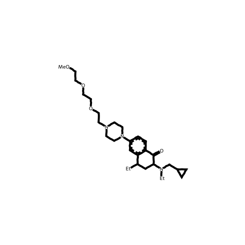 CCC1CC(N(CC)CC2CC2)C(=O)c2ccc(N3CCN(CCOCCOCCOC)CC3)cc21